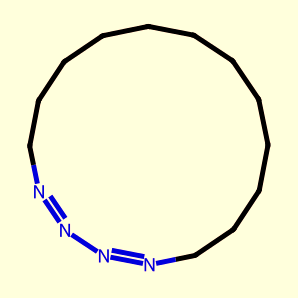 C1CCCCCCN=NN=NCCCCC1